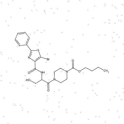 CCCCOC(=O)N1CCN(C(=O)C(CO)NC(=O)c2nc(-c3ccccc3)sc2Br)CC1